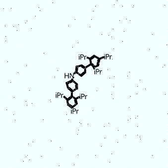 CC(C)c1cc(C(C)C)c(-c2ccc(Nc3ccc(-c4c(C(C)C)cc(C(C)C)cc4C(C)C)cc3)cc2)c(C(C)C)c1